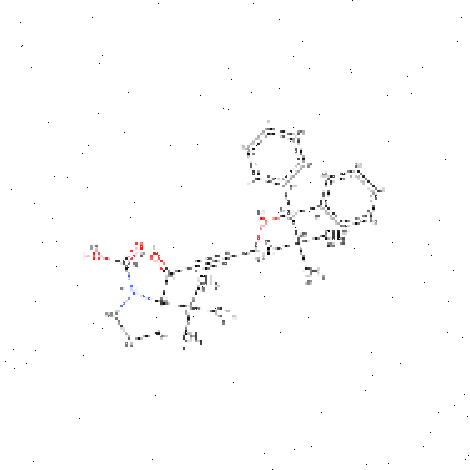 CC(C)(C)C1(C(=O)C#CCO[Si](c2ccccc2)(c2ccccc2)C(C)(C)C)CCCN1C(=O)O